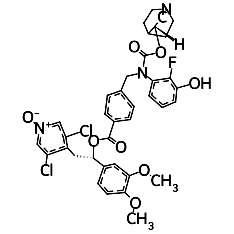 COc1ccc([C@H](Cc2c(Cl)c[n+]([O-])cc2Cl)OC(=O)c2ccc(CN(C(=O)O[C@H]3CN4CCC3CC4)c3cccc(O)c3F)cc2)cc1OC